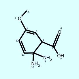 COC1=CC(C(=O)O)C(N)(N)C=C1